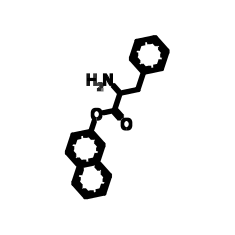 NC(Cc1ccccc1)C(=O)Oc1ccc2ccccc2c1